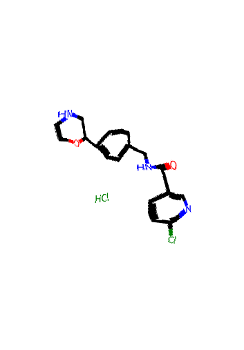 Cl.O=C(NCc1ccc(C2CNCCO2)cc1)c1ccc(Cl)nc1